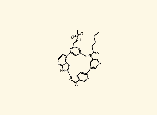 CCCCC(=O)Nc1cncc(-c2cc3c(-c4nc5c(-c6cc(F)cc(CNS(C)(=O)=O)c6)cccc5[nH]4)n[nH]c3cn2)c1